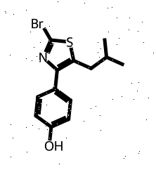 CC(C)Cc1sc(Br)nc1-c1ccc(O)cc1